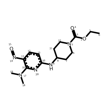 CCOC(=O)N1CCC(Nc2ccc(N=O)c(N(C)C)n2)CC1